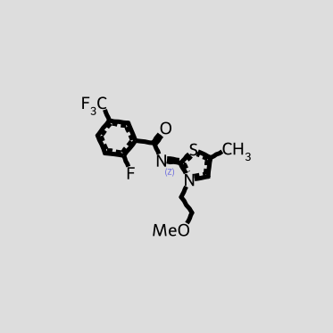 COCCn1cc(C)s/c1=N\C(=O)c1cc(C(F)(F)F)ccc1F